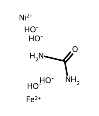 NC(N)=O.[Fe+2].[Ni+2].[OH-].[OH-].[OH-].[OH-]